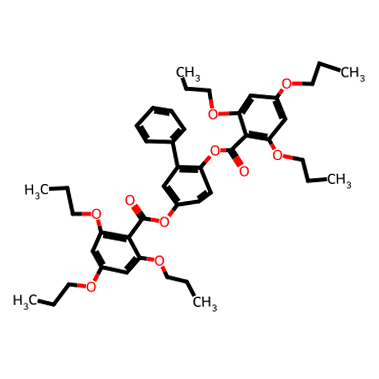 CCCOc1cc(OCCC)c(C(=O)Oc2ccc(OC(=O)c3c(OCCC)cc(OCCC)cc3OCCC)c(-c3ccccc3)c2)c(OCCC)c1